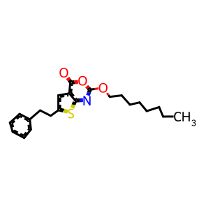 CCCCCCCCOc1nc2sc(CCc3ccccc3)cc2c(=O)o1